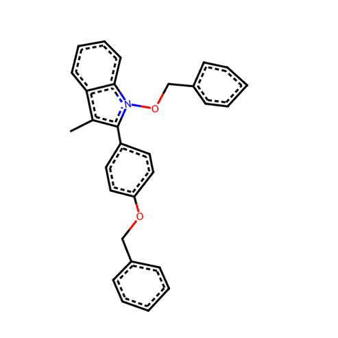 Cc1c(-c2ccc(OCc3ccccc3)cc2)n(OCc2ccccc2)c2ccccc12